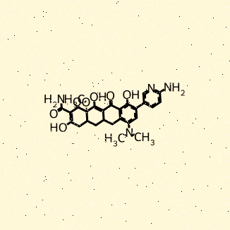 CO[C@@]12C(=O)C(C(N)=O)=C(O)CC1CC1Cc3c(N(C)C)cc(-c4ccc(N)nc4)c(O)c3C(=O)C1=C2O